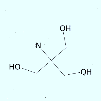 [N]C(CO)(CO)CO